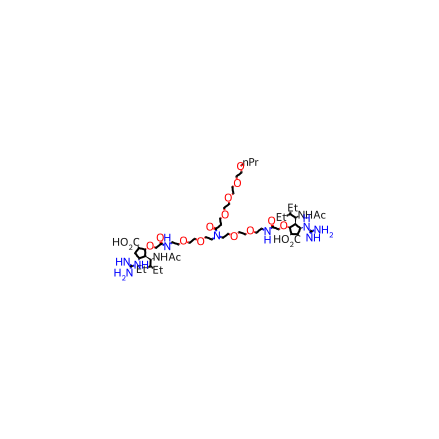 CCCOCCOCCOCCOCCC(=O)N(CCOCCOCCNC(=O)CO[C@H]1[C@@H]([C@H](NC(C)=O)C(CC)CC)[C@H](NC(=N)N)C[C@@H]1C(=O)O)CCOCCOCCNC(=O)CO[C@H]1[C@@H]([C@H](NC(C)=O)C(CC)CC)[C@H](NC(=N)N)C[C@@H]1C(=O)O